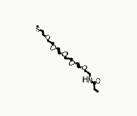 CCC(=O)NCCOCCOCCOCCOCCOCCSC